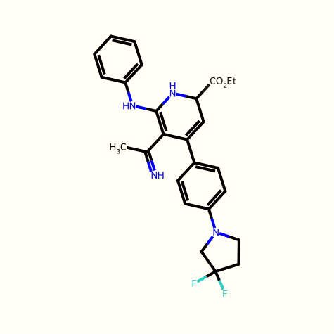 CCOC(=O)C1C=C(c2ccc(N3CCC(F)(F)C3)cc2)C(C(C)=N)=C(Nc2ccccc2)N1